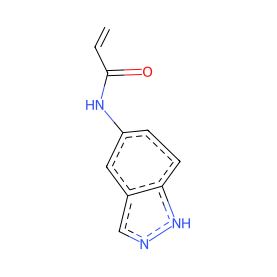 C=CC(=O)Nc1ccc2[nH]ncc2c1